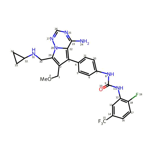 COCc1c(-c2ccc(NC(=O)Nc3cc(C(F)(F)F)ccc3F)cc2)c2c(N)ncnn2c1CNC1CC1